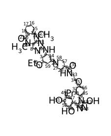 CCOc1cc(Nc2ncc3c(n2)N(C)c2ccccc2C(=O)N3C)cc(N2CCC(C(=O)NCCOc3ccc(-n4c(O)nnc4-c4cc(C(C)C)c(O)cc4O)cc3)CC2)c1